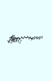 CCCCCCCC=CCCCCCCCCCCC(CCC)(P(=O)=O)[N+](C)(C)C